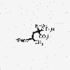 CCCCCC(C)CC(NC(C)=O)(C(=O)O)C(=O)O